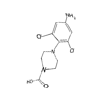 Nc1cc(Cl)c(N2CCN(C(=O)O)CC2)c(Cl)c1